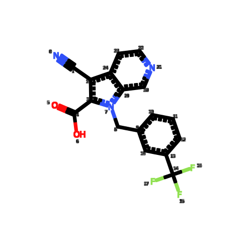 N#Cc1c(C(=O)O)n(Cc2cccc(C(F)(F)F)c2)c2cnccc12